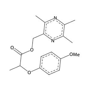 COc1ccc(OC(C)C(=O)OCc2nc(C)c(C)nc2C)cc1